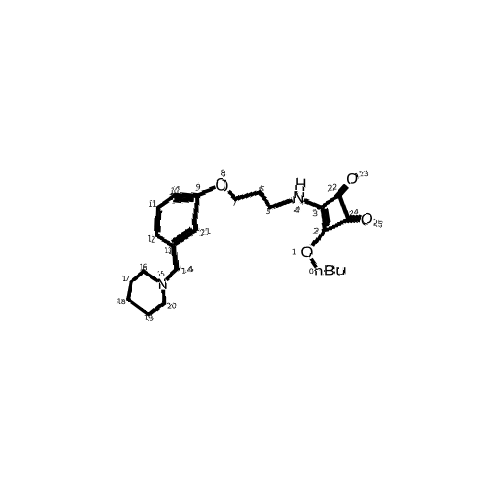 CCCCOc1c(NCCCOc2cccc(CN3CCCCC3)c2)c(=O)c1=O